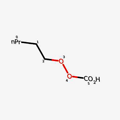 CCCCCOOC(=O)O